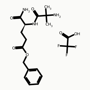 CC(C)(N)C(=O)N[C@@H](CCC(=O)OCc1ccccc1)C(N)=O.O=C(O)C(F)(F)F